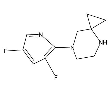 Fc1cnc(N2CCNC3(CC3)C2)c(F)c1